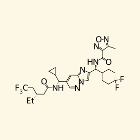 CC[C@@H](CC(=O)N[C@@H](c1cnn2cc([C@@H](NC(=O)c3nonc3C)C3CCC(F)(F)CC3)nc2c1)C1CC1)CC(F)(F)F